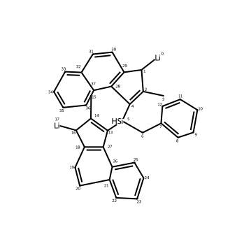 [Li][CH]1C(C)=C([SiH](Cc2ccccc2)C2=C(C)[CH]([Li])c3ccc4ccccc4c32)c2c1ccc1ccccc21